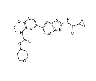 O=C(Nc1nc2ccc(-c3cnc4c(c3)N(C(=O)OC3CCOCC3)CCO4)cc2s1)C1CC1